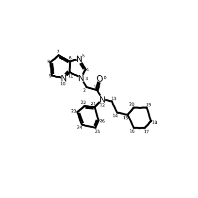 O=C(Cn1cnc2cccnc21)N(CCC1CCCCC1)c1ccccc1